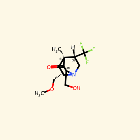 COC[C@]1(CO)C(=O)[C@@]2(C)CCN1C[C@H]2C(F)(F)F